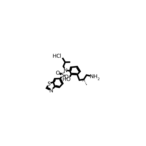 CC(C)CN(c1cccc(C[C@@H](C)CN)c1O)S(=O)(=O)c1ccc2ncsc2c1.Cl